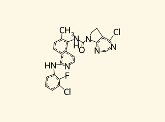 Cc1ccc2c(Nc3cccc(Cl)c3F)nccc2c1NC(=O)N1CCc2c(Cl)ncnc21